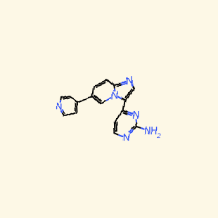 Nc1nccc(-c2cnc3ccc(-c4ccncc4)cn23)n1